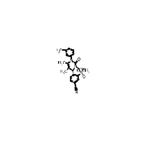 CC1=C(C)N(c2cccc(C)c2)C(=O)N(C)[C@@H]1c1ccc(C#N)cc1S(C)(=O)=O